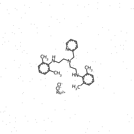 Cc1cccc(C)c1NCCN(CCNc1c(C)cccc1C)Cc1ccccn1.[Cl-].[Cl-].[Ru+2]